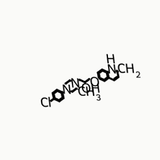 C=C1C=Cc2cc(OC[C@@H](O)CN3CCN(c4ccc(Cl)cc4)C[C@H]3C)ccc2N1